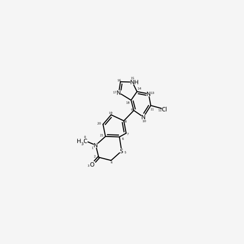 CN1C(=O)CSc2cc(-c3nc(Cl)nc4[nH]cnc34)ccc21